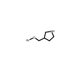 CC(=O)OCC1CCNC1